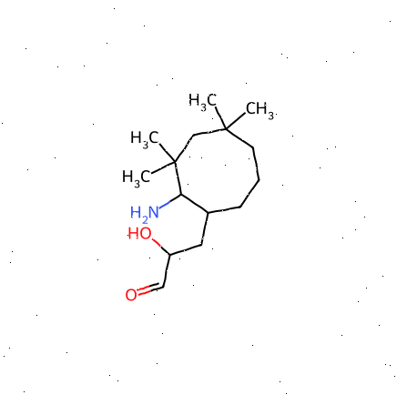 CC1(C)CCCC(CC(O)C=O)C(N)C(C)(C)C1